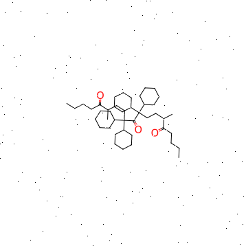 CCCCC(=O)C(C)CCC(C(=O)C(CCC(C)C(=O)CCCC)(C1CCCCC1)C1CCCCC1)(C1CCCCC1)C1CCCCC1